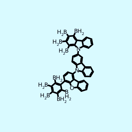 Bc1c(B)c(B)c(-c2ccc(-n3c4ccccc4c4cc(-n5c6ccccc6c6c(B)c(B)c(B)c(B)c65)ccc43)c3c2oc2ccccc23)c(B)c1B